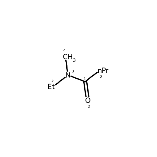 CCCC(=O)N(C)CC